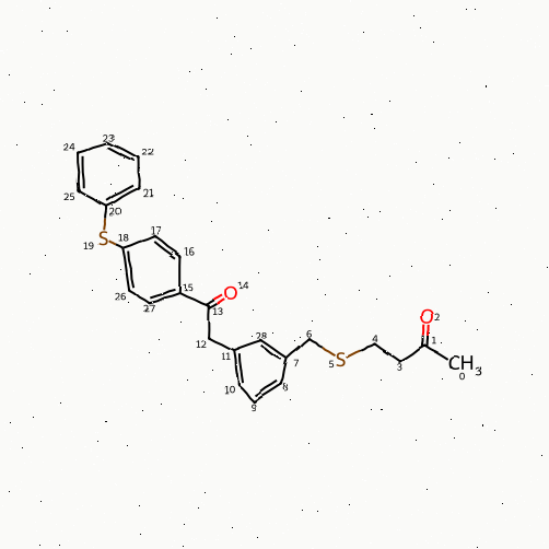 CC(=O)CCSCc1cccc(CC(=O)c2ccc(Sc3ccccc3)cc2)c1